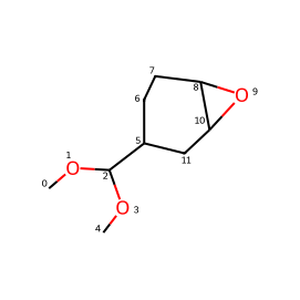 COC(OC)C1CCC2OC2C1